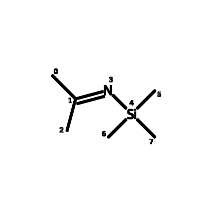 CC(C)=N[Si](C)(C)C